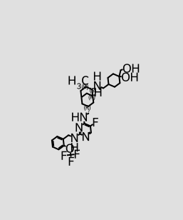 C[C@@H]1CC2C[C@@H](CNc3nc(NCc4ccccc4OC(F)(F)F)ncc3F)C[C@@H](C2)[C@H]1NCC1CCC(O)(CO)CC1